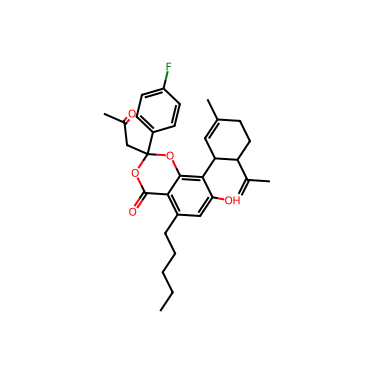 C=C(C)C1CCC(C)=CC1c1c(O)cc(CCCCC)c2c1OC(CC(C)=O)(c1ccc(F)cc1)OC2=O